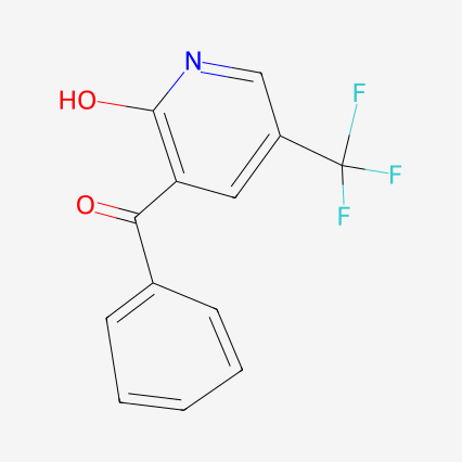 O=C(c1ccccc1)c1cc(C(F)(F)F)cnc1O